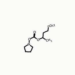 CCCCCCCCCCC(C)OC(=O)ON1CCCC1